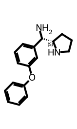 NC(c1cccc(Oc2ccccc2)c1)[C@@H]1CCCN1